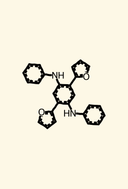 c1ccc(Nc2cc(-c3ccco3)c(Nc3ccccc3)cc2-c2ccco2)cc1